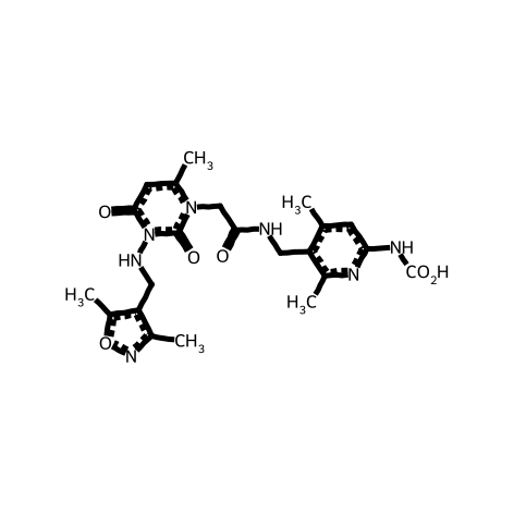 Cc1cc(NC(=O)O)nc(C)c1CNC(=O)Cn1c(C)cc(=O)n(NCc2c(C)noc2C)c1=O